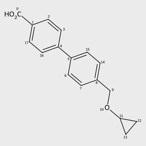 O=C(O)c1ccc(-c2ccc(COC3CC3)cc2)cc1